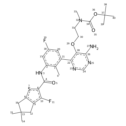 Cc1c(NC(=O)c2sc3c(c2F)CC(C)(C)C3)cc(F)cc1-c1ncnc(N)c1OCCN(C)C(=O)OC(C)(C)C